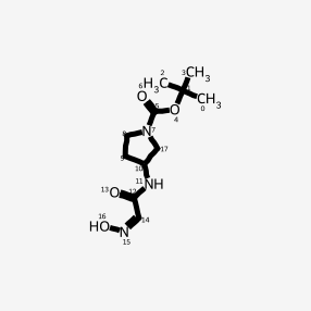 CC(C)(C)OC(=O)N1CCC(NC(=O)/C=N\O)C1